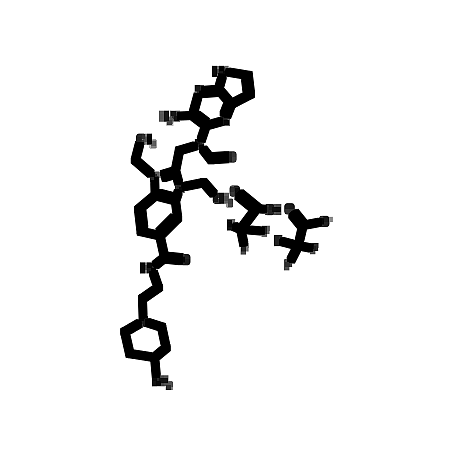 CCn1c(CN(C=O)c2nc3cc[nH]c3nc2N)[n+](CC)c2ccc(C(=O)NCCN3CCC(N)CC3)cc21.O=C(O)C(F)(F)F.O=C([O-])C(F)(F)F